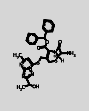 Cc1cc(SCC2=C(C(=O)OC(c3ccccc3)c3ccccc3)N3C(=O)C(N)[C@@H]3SC2)n2nc(C(C)O)nc2n1